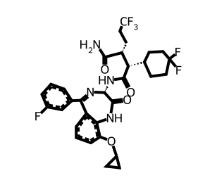 NC(=O)[C@H](CCC(F)(F)F)[C@@H](C(=O)N[C@H]1N=C(c2cccc(F)c2)c2cccc(OC3CC3)c2NC1=O)C1CCC(F)(F)CC1